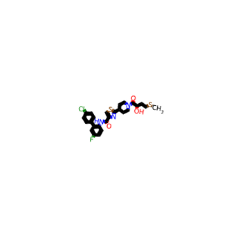 CSCCC(O)C(=O)N1CCC(c2nc(C(=O)Nc3ccc(F)cc3-c3ccc(Cl)cc3)cs2)CC1